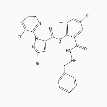 Cc1cc(Cl)cc(C(=O)NNCc2ccccc2)c1NC(=O)c1cc(Br)nn1-c1ncccc1Cl